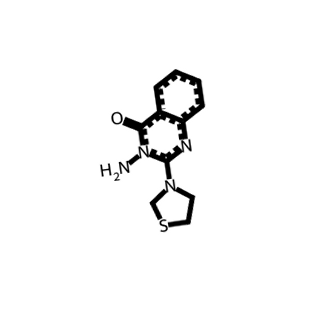 Nn1c(N2CCSC2)nc2ccccc2c1=O